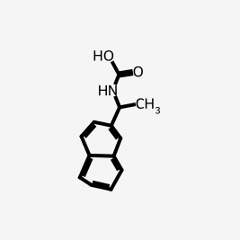 CC(NC(=O)O)c1ccc2ccccc2c1